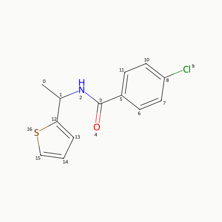 CC(NC(=O)c1ccc(Cl)cc1)c1cccs1